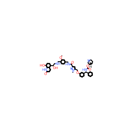 COc1cc(CNC(=O)c2cc(COc3cccc([C@@H](NC(=O)O[C@H]4CN5CCC4CC5)c4ccccc4)c3)n(C)n2)ccc1CNC[C@H](O)c1ccc(O)c2[nH]c(=O)ccc12